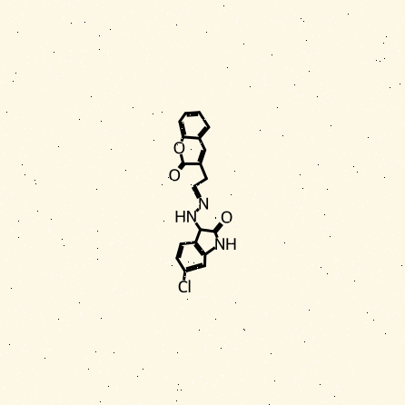 O=C1Nc2cc(Cl)ccc2C1NN=CCc1cc2ccccc2oc1=O